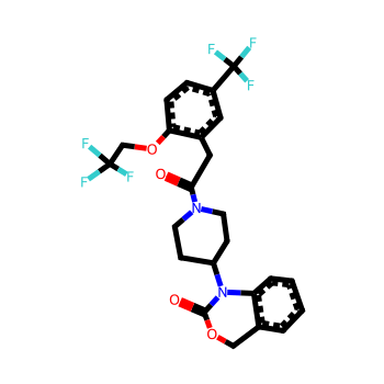 O=C(Cc1cc(C(F)(F)F)ccc1OCC(F)(F)F)N1CCC(N2C(=O)OCc3ccccc32)CC1